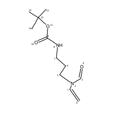 C=CN(C=O)CCCNC(=O)OC(C)(C)C